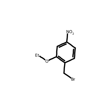 CCOc1cc([N+](=O)[O-])ccc1CBr